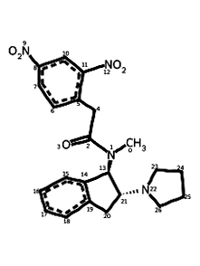 CN(C(=O)Cc1ccc([N+](=O)[O-])cc1[N+](=O)[O-])[C@@H]1c2ccccc2C[C@H]1N1CCCC1